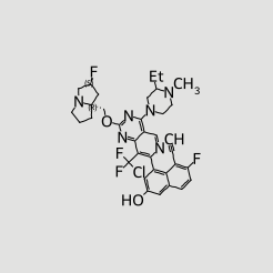 C#Cc1c(F)ccc2cc(O)cc(-c3ncc4c(N5CCN(C)C(CC)C5)nc(OC[C@]56CCCN5C[C@@H](F)C6)nc4c3C(F)(F)Cl)c12